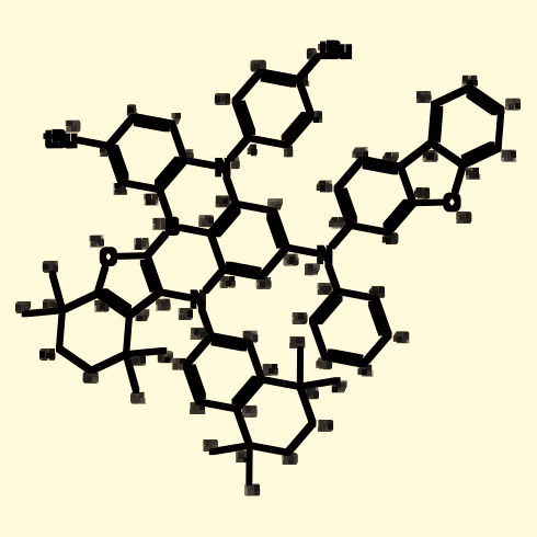 CC(C)(C)c1ccc(N2c3ccc(C(C)(C)C)cc3B3c4oc5c(c4N(c4ccc6c(c4)C(C)(C)CCC6(C)C)c4cc(N(c6ccccc6)c6ccc7c(c6)oc6ccccc67)cc2c43)C(C)(C)CCC5(C)C)cc1